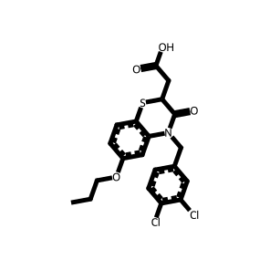 CCCOc1ccc2c(c1)N(Cc1ccc(Cl)c(Cl)c1)C(=O)C(CC(=O)O)S2